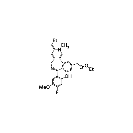 CC/C=C1/C=C2CN=C(c3cc(OC)c(F)cc3O)c3ccc(COOCC)cc3C2=CN1C